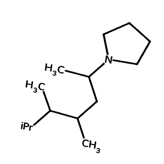 CC(C)C(C)C(C)CC(C)N1CCCC1